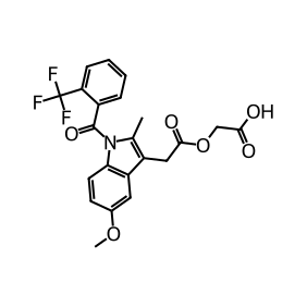 COc1ccc2c(c1)c(CC(=O)OCC(=O)O)c(C)n2C(=O)c1ccccc1C(F)(F)F